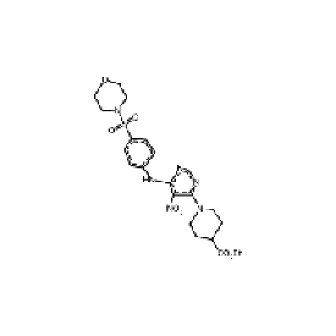 CCOC(=O)C1CCN(c2ncnc(Nc3ccc(S(=O)(=O)N4CCOCC4)cc3)c2[N+](=O)[O-])CC1